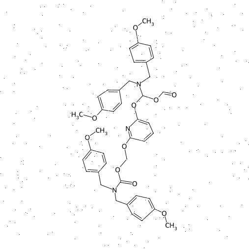 COc1ccc(CN(Cc2ccc(OC)cc2)C(=O)OCOc2cccc(OC(OC=O)N(Cc3ccc(OC)cc3)Cc3ccc(OC)cc3)n2)cc1